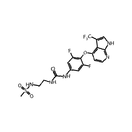 CS(=O)(=O)NCCNC(=O)Nc1cc(F)c(Oc2ccnc3[nH]cc(C(F)(F)F)c23)c(F)c1